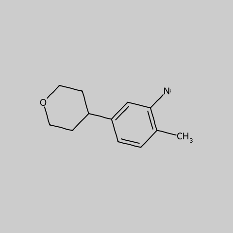 Cc1ccc(C2CCOCC2)cc1[N]